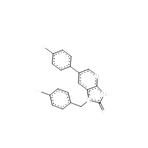 CC(C)c1ccc(Cn2c(=O)[nH]c3ncc(-c4ccc(Cl)cc4)cc32)cc1